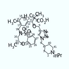 CCCN1CCC(Cn2cc(COC(c3ccc(C)c(CN4C[C@@H](C)Oc5ccccc5S4(=O)=O)c3)C(C)(C)C(=O)O)nn2)CC1